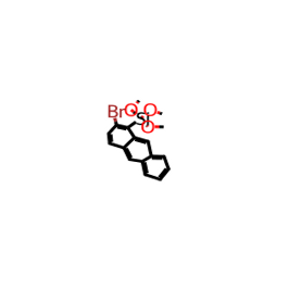 CO[Si](OC)(OC)c1c(Br)ccc2cc3ccccc3cc12